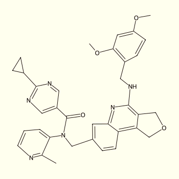 COc1ccc(CNc2nc3cc(CN(C(=O)c4cnc(C5CC5)nc4)c4cccnc4C)ccc3c3c2COC3)c(OC)c1